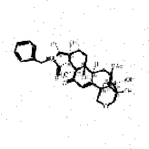 CC(=O)O[C@@H]1C[C@@]23COC[C@](C)([C@@H]2CC[C@H]2C3=CC(=O)[C@@]3(C)[C@H](C(=O)OCc4ccccc4)[C@@](C)([C@H](C)C(C)C)CC[C@]23C)[C@H]1O